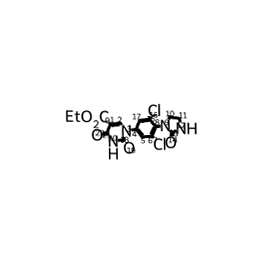 CCOC(=O)c1cn(-c2cc(Cl)c(N3CCNC3=O)c(Cl)c2)c(=O)[nH]c1=O